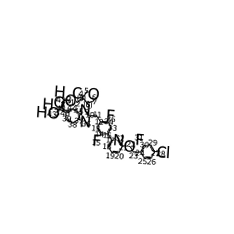 COC[C@@]1(C)COC[C@H]1n1c(Cc2cc(F)c(-c3cccc(OCc4ccc(Cl)cc4F)n3)cc2F)nc2ccc(C(=O)O)cc21